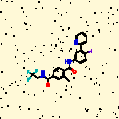 Cc1cc(C(=O)NCC(F)(F)F)ccc1C(=O)Nc1ccc(I)c(-c2ccccn2)c1